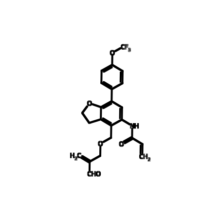 C=CC(=O)Nc1cc(-c2ccc(OC(F)(F)F)cc2)c2c(c1COCC(=C)C=O)CCO2